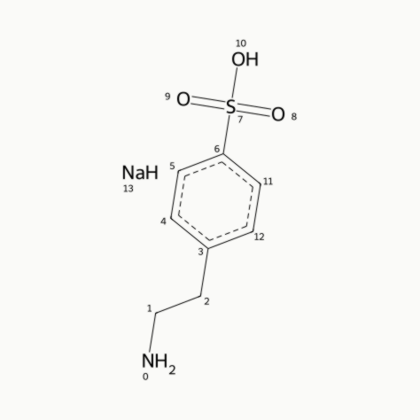 NCCc1ccc(S(=O)(=O)O)cc1.[NaH]